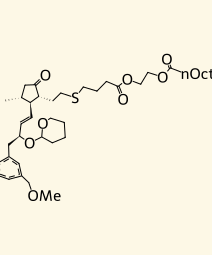 CCCCCCCCC(=O)OCCOC(=O)CCCSCC[C@H]1C(=O)C[C@@H](C)[C@@H]1/C=C/[C@H](Cc1cccc(COC)c1)OC1CCCCO1